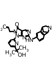 C=CCn1c(=O)c2cnc(Nc3ccc4c(c3)C3CNC4C3)nc2n1-c1cccc(C(C)(C)O)n1